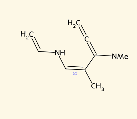 C=C=C(NC)/C(C)=C\NC=C